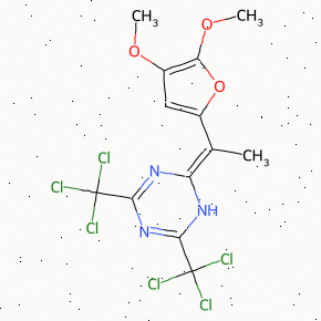 COc1cc(/C(C)=C2\N=C(C(Cl)(Cl)Cl)N=C(C(Cl)(Cl)Cl)N2)oc1OC